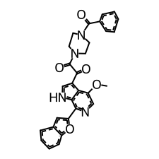 COc1cnc(-c2cc3ccccc3o2)c2[nH]cc(C(=O)C(=O)N3CCN(C(=O)c4ccccc4)CC3)c12